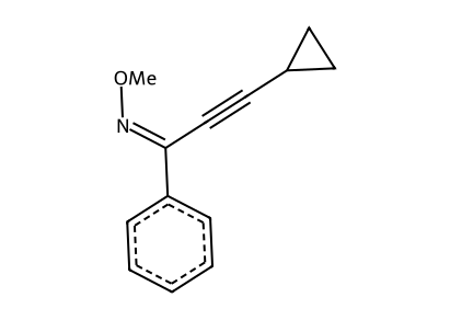 CON=C(C#CC1CC1)c1ccccc1